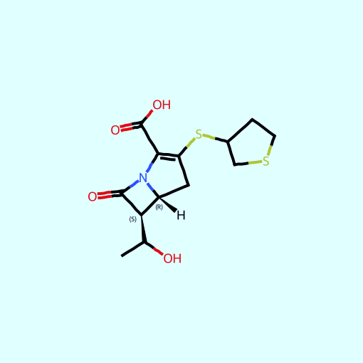 CC(O)[C@H]1C(=O)N2C(C(=O)O)=C(SC3CCSC3)C[C@H]12